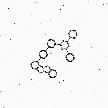 c1ccc(-c2nc(-c3ccccc3)nc(-c3cccc(-c4ccc(-c5cccc6nc7c8ccccc8sc7n56)cc4)c3)n2)cc1